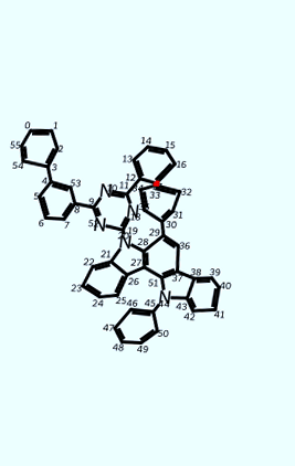 c1ccc(-c2cccc(-c3nc(-c4ccccc4)nc(-n4c5ccccc5c5c4c(-c4ccccc4)cc4c6ccccc6n(-c6ccccc6)c45)n3)c2)cc1